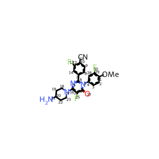 COc1ccc(-n2c(-c3ccc(C#N)c(F)c3)nc(N3CCC(N)CC3)c(F)c2=O)cc1F